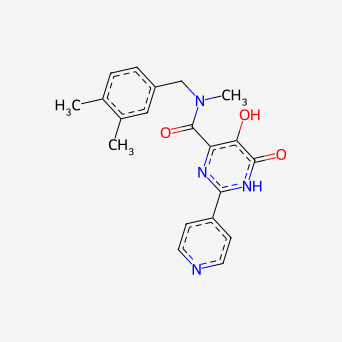 Cc1ccc(CN(C)C(=O)c2nc(-c3ccncc3)[nH]c(=O)c2O)cc1C